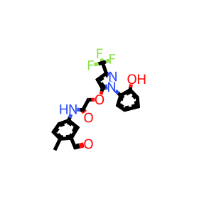 Cc1ccc(NC(=O)COc2cc(C(F)(F)F)nn2-c2ccccc2O)cc1C=O